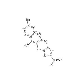 Cc1c(Cc2ccc([N+](=O)[O-])s2)c(=O)oc2cc(O)ccc12